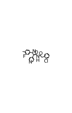 Cc1ccc(-c2noc(NC(=O)Cc3ccccc3Cl)c2-c2ccncc2)cc1F